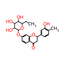 CCC1OC(Oc2ccc3c(c2)OC(c2ccc(C)c(O)c2)CC3=O)C(O)C(O)C1O